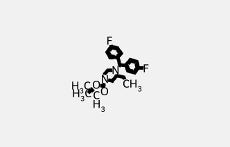 CCC1CN(C(=O)OC(C)(C)C)CCN1C(c1ccc(F)cc1)c1ccc(F)cc1